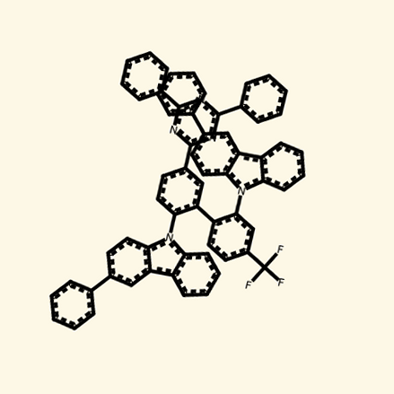 FC(F)(F)c1ccc(-c2cc(-c3nc(-c4ccccc4)nc(-c4ccccc4)n3)ccc2-n2c3ccccc3c3cc(-c4ccccc4)ccc32)c(-n2c3ccccc3c3cc(-c4ccccc4)ccc32)c1